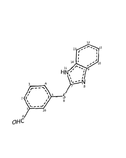 O=Cc1cccc(Sc2nc3ccccc3[nH]2)c1